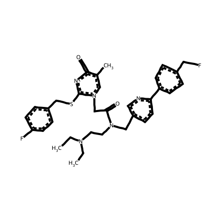 CCN(CC)CCN(Cc1ccc(-c2ccc(CF)cc2)nc1)C(=O)Cn1cc(C)c(=O)nc1SCc1ccc(F)cc1